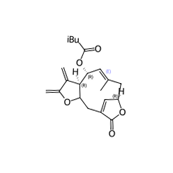 C=C1OC2CC3=C[C@@H](C/C(C)=C/[C@@H](OC(=O)C(C)CC)[C@@H]2C1=C)OC3=O